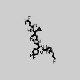 O=C(CCC(F)(F)F)N[C@@H](c1cnn2cc([C@@H](NC(=O)c3cnn(CCCF)n3)C3CCC(F)(F)CC3)nc2c1)C1CC1